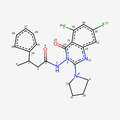 CC(CC(=O)Nn1c(N2CCCC2)nc2cc(F)cc(F)c2c1=O)c1ccccc1